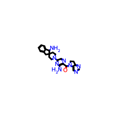 Nc1nc(N2CCC3(CC2)Cc2ccccc2C3N)cnc1C(=O)N1CCc2ncncc21